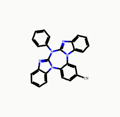 N#Cc1ccc2c(c1)n1c3ccccc3nc1n(-c1ccccc1)c1nc3ccccc3n21